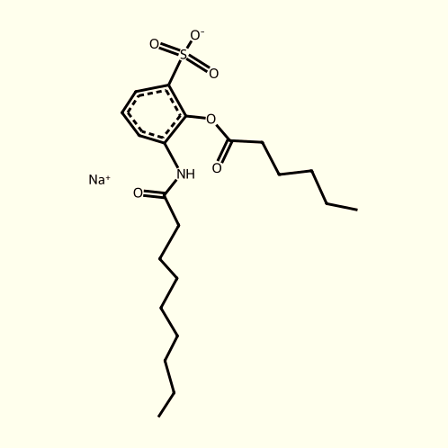 CCCCCCCCC(=O)Nc1cccc(S(=O)(=O)[O-])c1OC(=O)CCCCC.[Na+]